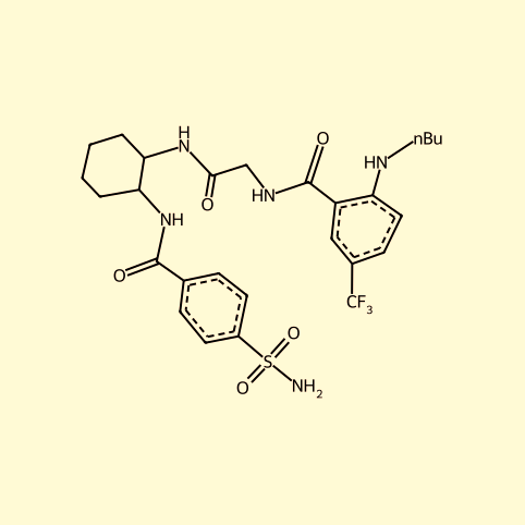 CCCCNc1ccc(C(F)(F)F)cc1C(=O)NCC(=O)NC1CCCCC1NC(=O)c1ccc(S(N)(=O)=O)cc1